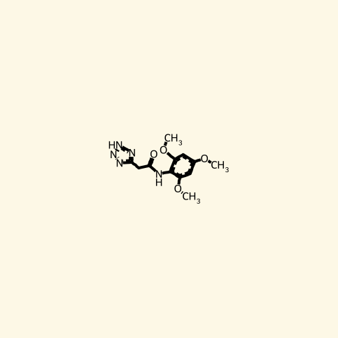 COc1cc(OC)c(NC(=O)Cc2nn[nH]n2)c(OC)c1